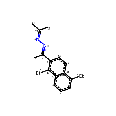 CCc1cccc2c(CC)c(/C(C)=N/N=C(C)C)ccc12